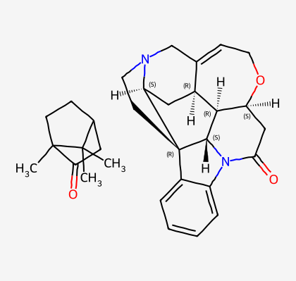 CC12CCC(CC1=O)C2(C)C.O=C1C[C@@H]2OCC=C3CN4CC[C@]56c7ccccc7N1[C@H]5[C@H]2[C@H]3C[C@H]46